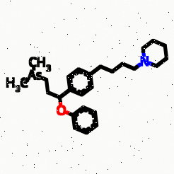 C[As](C)CCC(Oc1ccccc1)c1ccc(CCCCN2CCCCC2)cc1